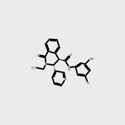 N#Cc1cc(Cl)cc(NC(=O)[C@@H]2c3ccccc3C(=O)N(CC(F)(F)F)[C@H]2c2cccnc2)c1